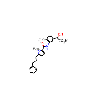 CC[C@H](C)n1c(CCCc2ccccc2)ccc1C(=O)Nc1cc(C(O)C(=O)O)ccc1C(F)(F)F